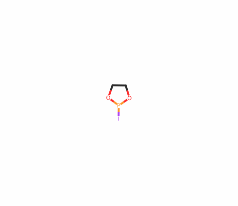 IP1OCCO1